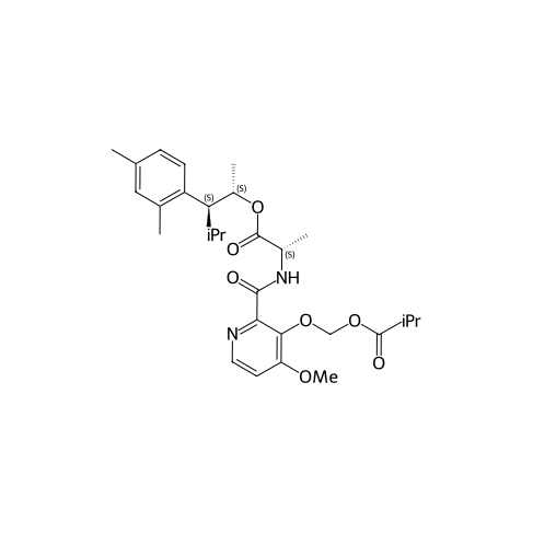 COc1ccnc(C(=O)N[C@@H](C)C(=O)O[C@@H](C)[C@H](c2ccc(C)cc2C)C(C)C)c1OCOC(=O)C(C)C